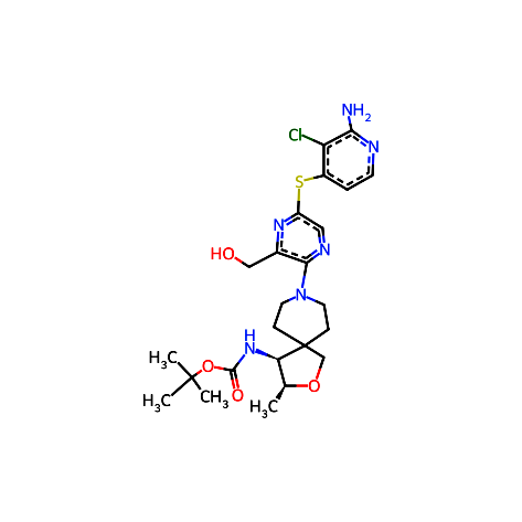 C[C@@H]1OCC2(CCN(c3ncc(Sc4ccnc(N)c4Cl)nc3CO)CC2)[C@@H]1NC(=O)OC(C)(C)C